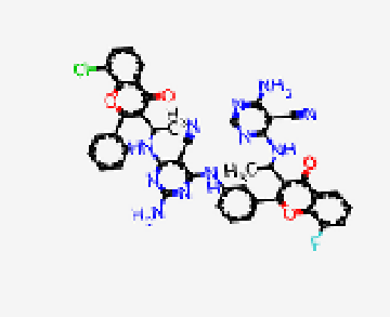 CC(Nc1ncnc(N)c1C#N)c1c(-c2cccc(Nc3nc(N)nc(NC(C)c4c(-c5ccccc5)oc5c(Cl)cccc5c4=O)c3C#N)c2)oc2c(F)cccc2c1=O